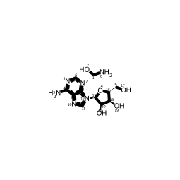 NCO.Nc1ncnc2c1ncn2[C@@H]1O[C@H](CO)[C@@H](O)[C@H]1O